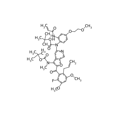 C=CCc1c(OC)cc(OC)c(F)c1C(=O)c1oc2cnc(N(C(=O)OC(C)(C)C)c3ccc(OCCOC)cc3NC(=O)C=C)cc2c1N(C)C(=O)OC(C)(C)C